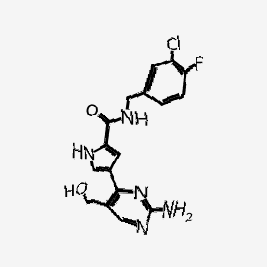 Nc1ncc(CO)c(-c2c[nH]c(C(=O)NCc3ccc(F)c(Cl)c3)c2)n1